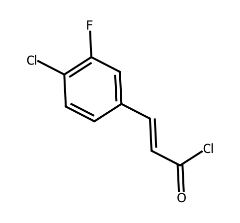 O=C(Cl)C=Cc1ccc(Cl)c(F)c1